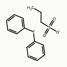 CCCS(=O)(=O)[O-].c1ccc([I+]c2ccccc2)cc1